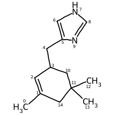 CC1=CC(Cc2c[nH]cn2)CC(C)(C)C1